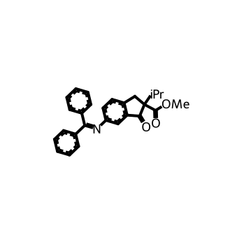 COC(=O)C1(C(C)C)Cc2ccc(N=C(c3ccccc3)c3ccccc3)cc2C1=O